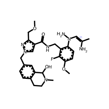 COCc1nn(Cc2ccc3c(c2)C(O)N(C)CC3)cc1C(=O)NCc1c(N(N)/C=C(/C)N)ccc(OC)c1F